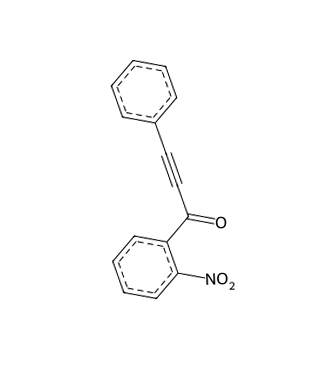 O=C(C#Cc1ccccc1)c1ccccc1[N+](=O)[O-]